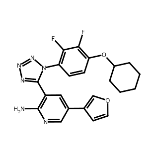 Nc1ncc(-c2ccoc2)cc1-c1nnnn1-c1ccc(OC2CCCCC2)c(F)c1F